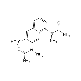 NC(=O)N(N)c1cc2c(N(N)C(N)=O)cccc2cc1C(=O)O